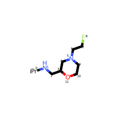 CC(C)NCC1CN(CCF)CCO1